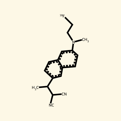 [C-]#[N+]C(C#N)C(C)c1ccc2cc(N(C)CC[18F])ccc2c1